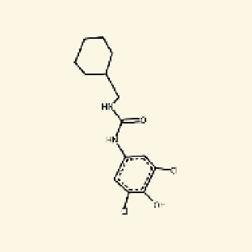 O=C(NCC1CCCCC1)Nc1cc(Cl)c(O)c(Cl)c1